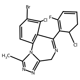 Cc1nnc2n1-c1ccc(Br)c(Cl)c1C(C1=C(F)C=CCC1Cl)=NC2